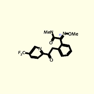 CNC(=O)/C(=N/OC)c1ccccc1CC(=O)c1ccc(C(F)(F)F)cn1